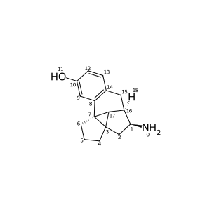 N[C@H]1CC23CCC[C@@]24c2cc(O)ccc2C[C@@H]1C34